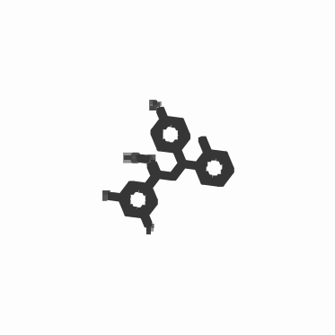 Cc1ccccc1C(CC(=NO)c1cc(F)cc(F)c1)c1ccc(Br)cc1